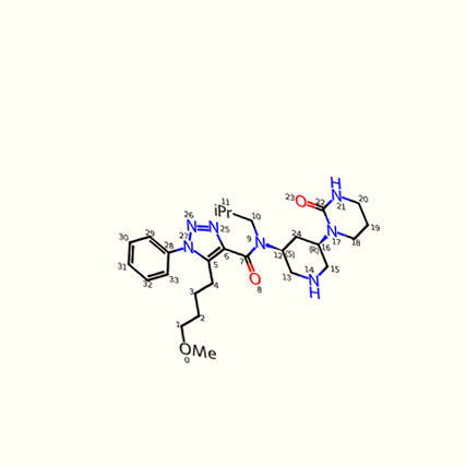 COCCCCc1c(C(=O)N(CC(C)C)[C@@H]2CNC[C@H](N3CCCNC3=O)C2)nnn1-c1ccccc1